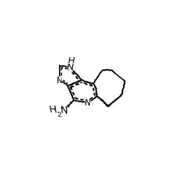 Nc1nc2c(c3[nH]cnc13)CCCCC2